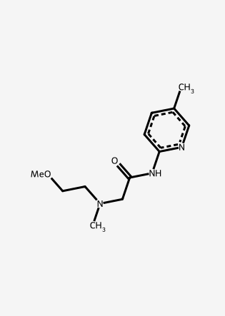 COCCN(C)CC(=O)Nc1ccc(C)cn1